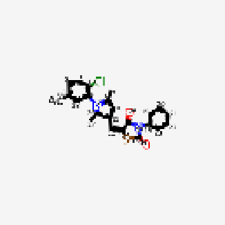 CC(=O)c1ccc(Cl)c(-n2c(C)cc(C=C3SC(=O)N(c4ccccc4)C3=O)c2C)c1